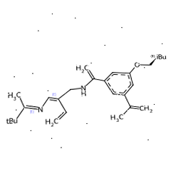 C=C/C(=C\N=C(/C)C(C)(C)C)CNC(=C)c1cc(OC[C@H](C)CC)cc(C(=C)C)c1